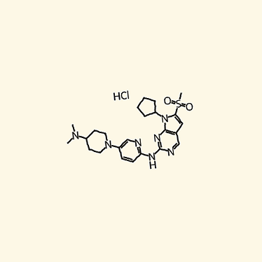 CN(C)C1CCN(c2ccc(Nc3ncc4cc(S(C)(=O)=O)n(C5CCCC5)c4n3)nc2)CC1.Cl